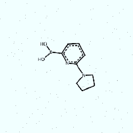 OB(O)c1cccc(N2CCCC2)n1